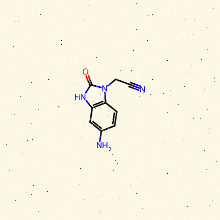 N#CCn1c(=O)[nH]c2cc(N)ccc21